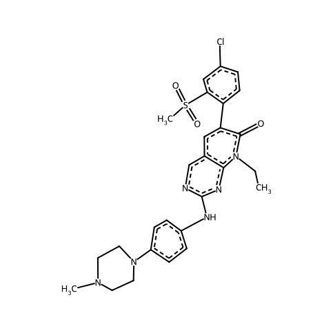 CCn1c(=O)c(-c2ccc(Cl)cc2S(C)(=O)=O)cc2cnc(Nc3ccc(N4CCN(C)CC4)cc3)nc21